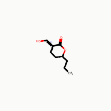 CCCC1CC/C(=C\O)C(=O)O1